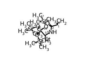 C=CC(=O)NC(CC)[Si](O[Si](C)(C)C)(O[Si](C)(C)C)O[Si](C)(C)C